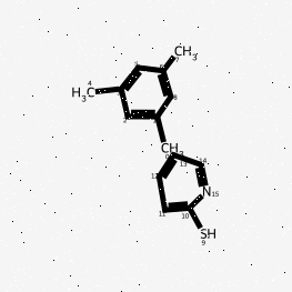 Cc1cc(C)cc(C)c1.Sc1ccccn1